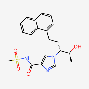 C[C@H](O)[C@@H](CCc1cccc2ccccc12)n1cnc(C(=O)NS(C)(=O)=O)c1